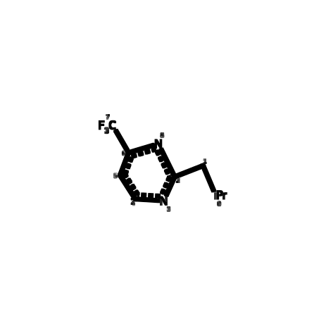 CC(C)Cc1n[c]cc(C(F)(F)F)n1